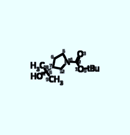 CC(C)(C)OC(=O)N1CC[C@@H](C(C)(C)O)C1